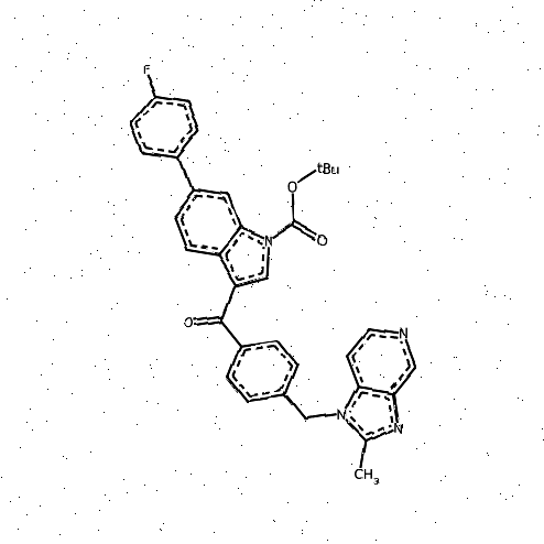 Cc1nc2cnccc2n1Cc1ccc(C(=O)c2cn(C(=O)OC(C)(C)C)c3cc(-c4ccc(F)cc4)ccc23)cc1